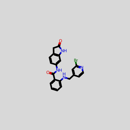 O=C1Cc2ccc(NC(=O)c3ccccc3NCc3ccnc(Br)c3)cc2N1